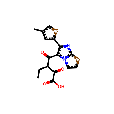 CCC(C(=O)C(=O)O)C(=O)c1c(-c2cc(C)cs2)nc2sccn12